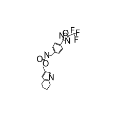 CN(Cc1ccc(-c2noc(C(F)(F)F)n2)cc1)C(=O)OCc1cnc2c(c1)CCCC2